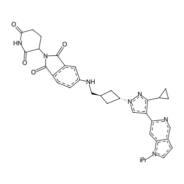 CC(C)n1ccc2cnc(-c3cn([C@H]4C[C@H](CNc5ccc6c(c5)C(=O)N(C5CCC(=O)NC5=O)C6=O)C4)nc3C3CC3)cc21